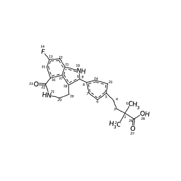 CC(C)(CCc1ccc(-c2[nH]c3cc(F)cc4c3c2CCNC4=O)cc1)C(=O)O